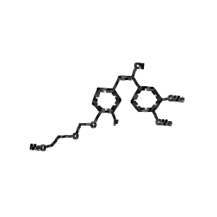 COCCOCOc1ccc(C=C(C#N)c2ccc(OC)c(OC)c2)cc1F